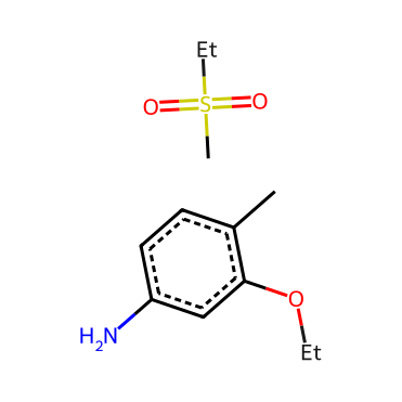 CCOc1cc(N)ccc1C.CCS(C)(=O)=O